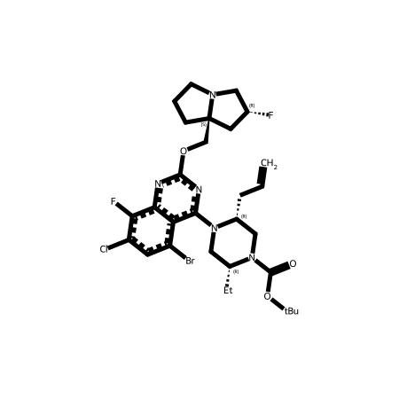 C=CC[C@@H]1CN(C(=O)OC(C)(C)C)[C@H](CC)CN1c1nc(OC[C@@]23CCCN2C[C@H](F)C3)nc2c(F)c(Cl)cc(Br)c12